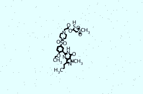 CCCc1nn(C)c2c(=O)[nH]c(-c3cc(S(=O)(=O)N4CCN(CC(=O)OC(S)CS(C)(=O)=O)CC4)ccc3OCC)nc12